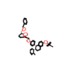 CC1C=CC=CC1[C@H]1CCc2cc(OC(C)(C)C)ccc2[C@H]1c1ccc(OCC2CC[C@H](COCc3ccccc3)O2)cc1